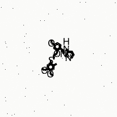 COc1ccc(-c2nc3ncccc3[nH]2)c(OCCSc2cc(OC)c(OC)cc2C)c1